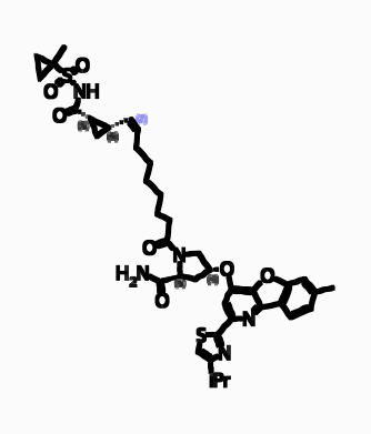 Cc1ccc2c(c1)oc1c(O[C@@H]3C[C@@H](C(N)=O)N(C(=O)CCCCCC/C=C\[C@@H]4C[C@@H]4C(=O)NS(=O)(=O)C4(C)CC4)C3)cc(-c3nc(C(C)C)cs3)nc12